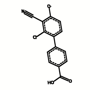 N#Cc1c([O])ccc(-c2ccc(C(=O)O)cc2)c1Cl